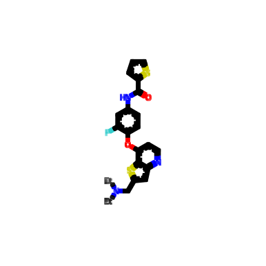 CCN(CC)Cc1cc2nccc(Oc3ccc(NC(=O)c4cccs4)cc3F)c2s1